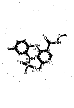 CONC(=O)c1cnc(Cl)cc1Nc1ccc(C)cc1NS(C)(=O)=O